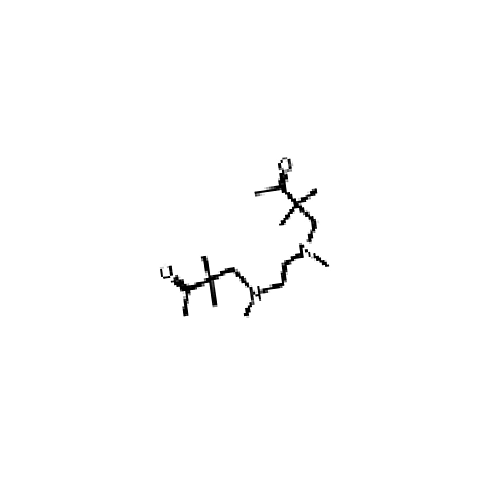 CC(=O)C(C)(C)CN(C)CCN(C)CC(C)(C)C(C)=O